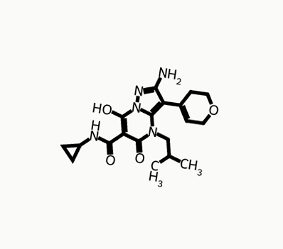 CC(C)Cn1c(=O)c(C(=O)NC2CC2)c(O)n2nc(N)c(C3=CCOCC3)c12